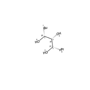 CCC[C@H](O)[C@@H](O)[C@H](O)C(C)CC